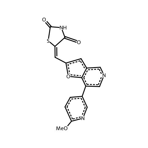 COc1ccc(-c2cncc3cc(C=C4SC(=O)NC4=O)oc23)cn1